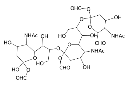 CC(=O)NC1C(O)CC(OC=O)(OC(CO)C(O)C2OC(OC=O)(OC(CO)C(O)C3OC(O)(OC=O)CC(O)C3NC(C)=O)CC(O)C2NC(C)=O)OC1C=O